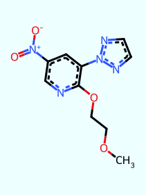 COCCOc1ncc([N+](=O)[O-])cc1-n1nccn1